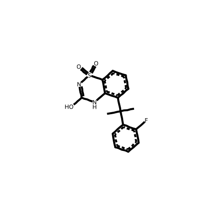 CC(C)(c1ccccc1F)c1cccc2c1NC(O)=NS2(=O)=O